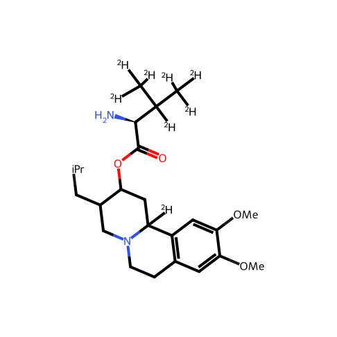 [2H]C12CC(OC(=O)[C@@H](N)C([2H])(C([2H])([2H])[2H])C([2H])([2H])[2H])C(CC(C)C)CN1CCc1cc(OC)c(OC)cc12